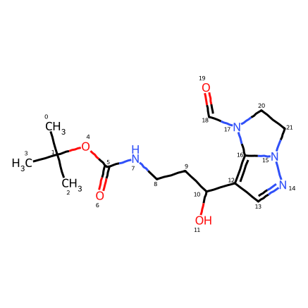 CC(C)(C)OC(=O)NCCC(O)c1cnn2c1N(C=O)CC2